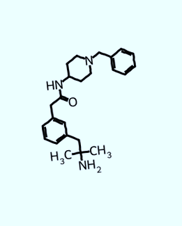 CC(C)(N)Cc1cccc(CC(=O)NC2CCN(Cc3ccccc3)CC2)c1